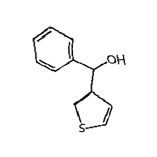 OC(c1ccccc1)C1C=CSC1